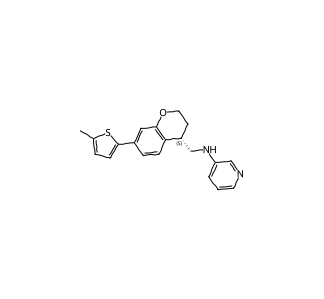 Cc1ccc(-c2ccc3c(c2)OCC[C@@H]3CNc2cccnc2)s1